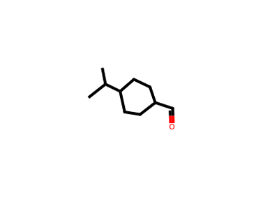 CC(C)C1CCC(C=O)CC1